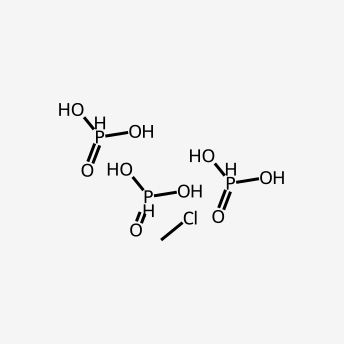 CCl.O=[PH](O)O.O=[PH](O)O.O=[PH](O)O